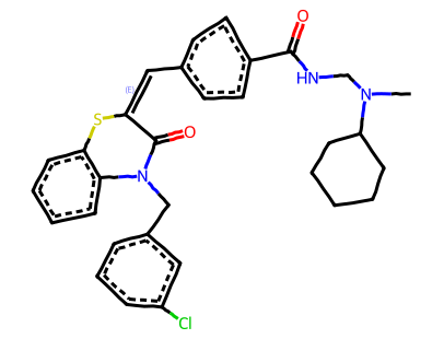 CN(CNC(=O)c1ccc(/C=C2/Sc3ccccc3N(Cc3cccc(Cl)c3)C2=O)cc1)C1CCCCC1